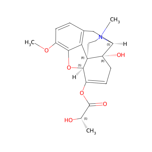 COc1ccc2c3c1O[C@@H]1C(OC(=O)[C@H](C)O)=CC[C@]4(O)[C@H](C2)N(C)CC[C@@]314